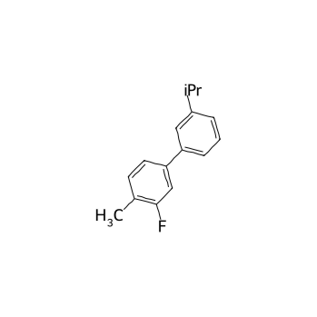 Cc1ccc(-c2cccc(C(C)C)c2)cc1F